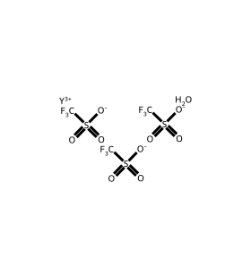 O.O=S(=O)([O-])C(F)(F)F.O=S(=O)([O-])C(F)(F)F.O=S(=O)([O-])C(F)(F)F.[Y+3]